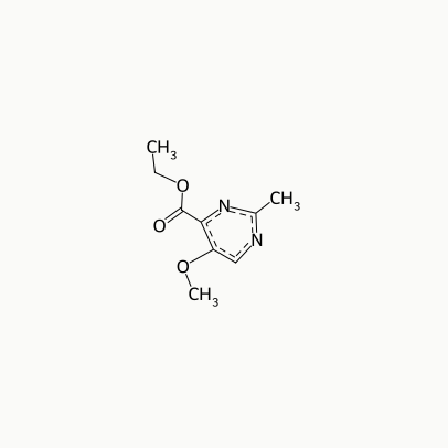 CCOC(=O)c1nc(C)ncc1OC